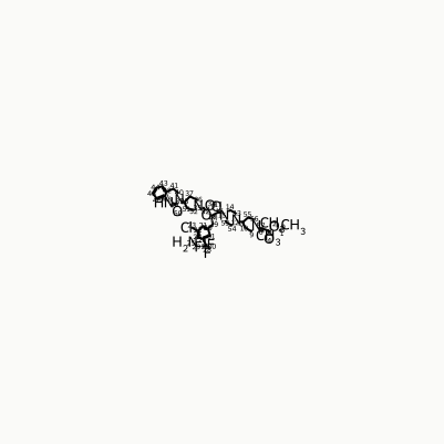 CCOC(=O)C(C)(C)N1CCC(N2CCN(C(=O)[C@@H](Cc3cc(Cl)c(N)c(C(F)(F)F)c3)OC(=O)N3CCC(N4CCc5ccccc5NC4=O)CC3)CC2)CC1